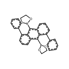 c1ccc(-c2cccc3c(B4OCCO4)c4c(-c5ccccc5)cccc4c(B4OCCO4)c23)cc1